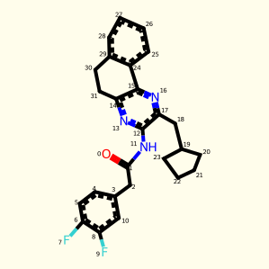 O=C(Cc1ccc(F)c(F)c1)Nc1nc2c(nc1CC1CCCC1)-c1ccccc1CC2